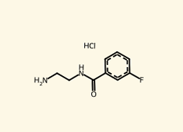 Cl.NCCNC(=O)c1cccc(F)c1